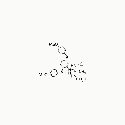 COc1ccc(Sc2ccc(Sc3ccc(OC)cc3)c(NC(NC3CC3)=C(C)NC(=O)O)c2)cc1